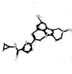 Cc1cc2c3c(c1)c1c(n3CC(c3ccc(C(=O)NC4CC4)o3)=C2)CCN(C)C1